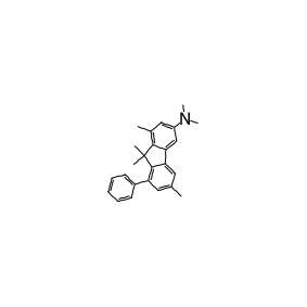 Cc1cc(-c2ccccc2)c2c(c1)-c1cc(N(C)C)cc(C)c1C2(C)C